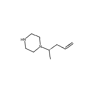 C=CCC(C)N1CCNCC1